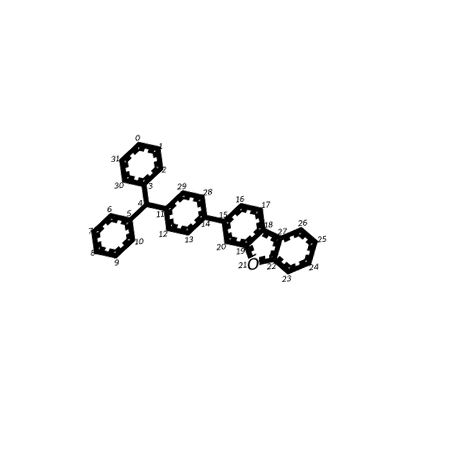 c1ccc(C(c2ccccc2)c2ccc(-c3ccc4c(c3)oc3ccccc34)cc2)cc1